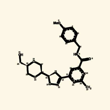 COc1ccc(CNC(=O)c2cc(C3=NO[C@H]([C@@H]4CO[C@@H](CO)CO4)C3)nc(C)n2)cc1